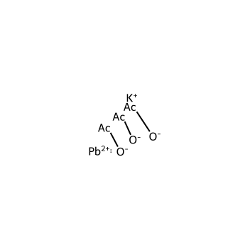 CC(=O)[O-].CC(=O)[O-].CC(=O)[O-].[K+].[Pb+2]